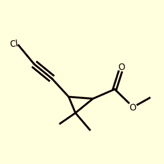 COC(=O)C1C(C#CCl)C1(C)C